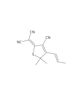 C/C=C/C1=C(C#N)C(=C(C#N)C#N)SC1(C)C